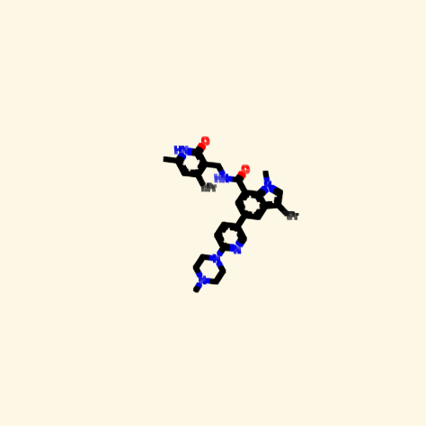 CCCc1cc(C)[nH]c(=O)c1CNC(=O)c1cc(-c2ccc(N3CCN(C)CC3)nc2)cc2c(C(C)C)cn(C)c12